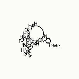 COc1ccc2nc3c(nc2c1)O[C@H]1CN(C(=O)[C@H](C(C)(C)C)NC(=O)O[C@@H]2C[C@H]2CCCCC3)[C@H](C(=O)N[C@]2(C(=O)NS(=O)(=O)C3CC3)C[C@H]2C(F)F)[C@@H]1C